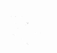 CC(C)(C)N(CCCN)C(=O)O.CC(C)(C)OC(=O)NCCCN